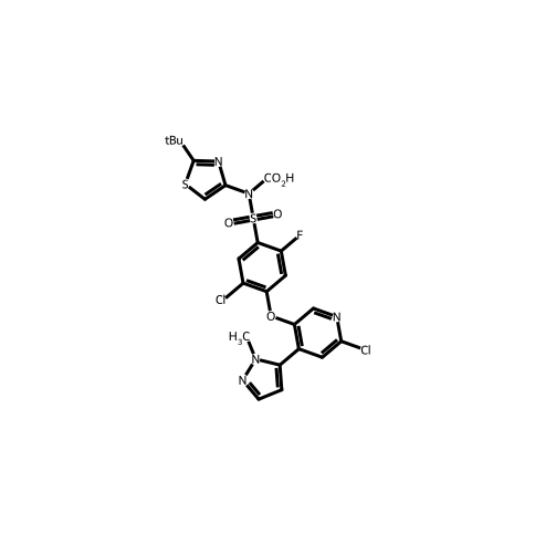 Cn1nccc1-c1cc(Cl)ncc1Oc1cc(F)c(S(=O)(=O)N(C(=O)O)c2csc(C(C)(C)C)n2)cc1Cl